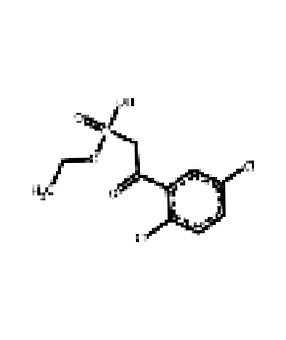 CCOP(=O)(O)CC(=O)c1cc(Cl)ccc1Cl